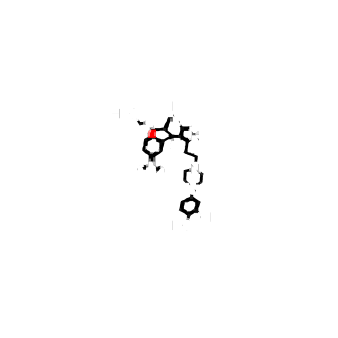 CCOC(=O)C1=CNc2snc(CCN3CCN(c4ccc(C)c(C)c4)CC3)c2C1(C)c1cccc([N+](=O)[O-])c1